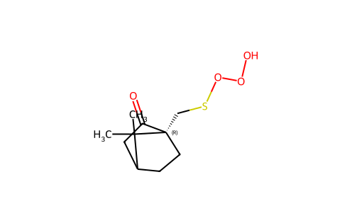 CC1(C)C2CC[C@]1(CSOOO)C(=O)C2